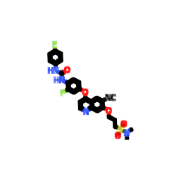 [C-]#[N+]c1cc2c(Oc3ccc(NC(=O)Nc4ccc(F)cc4)c(F)c3)ccnc2cc1OCCCS(=O)(=O)N(C)C